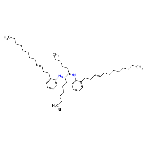 CCCCCCCC/C=C/CCc1ccccc1/N=C(CCCCC)\C(CCCCCC)=N\c1ccccc1CC/C=C/CCCCCCCC.[Ni]